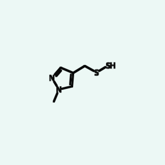 Cn1cc(CSS)cn1